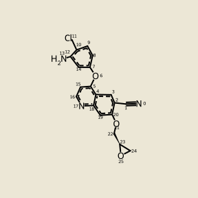 N#Cc1cc2c(Oc3ccc(Cl)c(N)c3)ccnc2cc1OC[C@H]1CO1